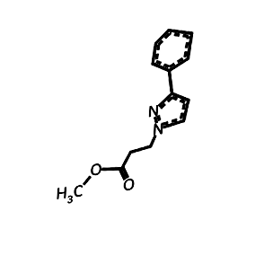 COC(=O)CCn1ccc(-c2ccccc2)n1